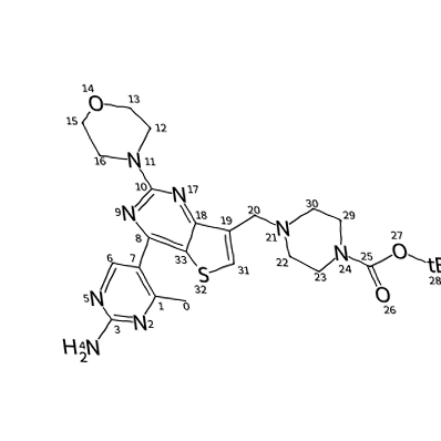 Cc1nc(N)ncc1-c1nc(N2CCOCC2)nc2c(CN3CCN(C(=O)OC(C)(C)C)CC3)csc12